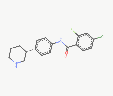 O=C(Nc1ccc([C@H]2CCCNC2)cc1)c1ccc(Cl)cc1F